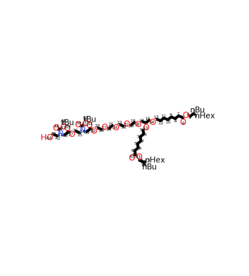 CCCCCCC(CCCC)COC(=O)CCCCCCCOCC(COCCOCCOCCOCCOC(=O)CN(CCOC(=O)CN(CCO)C(=O)OC(C)(C)C)C(=O)OC(C)(C)C)OCCCCCCCC(=O)OCC(CCCC)CCCCCC